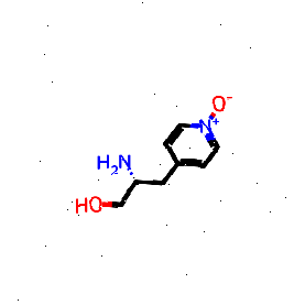 N[C@@H](CO)Cc1cc[n+]([O-])cc1